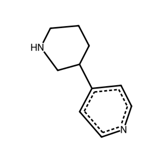 c1cc(C2CCCNC2)ccn1